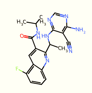 CC(C)NC(=O)c1cc2c(F)cccc2nc1C(C)Nc1ncnc(N)c1C#N